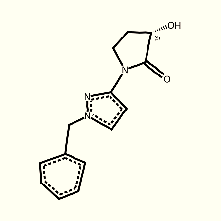 O=C1[C@@H](O)CCN1c1ccn(Cc2ccccc2)n1